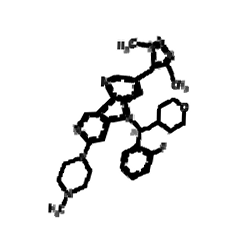 Cc1nnn(C)c1-c1cnc2c3cnc(N4CCN(C)CC4)cc3n([C@H](c3ccccc3F)C3CCOCC3)c2c1